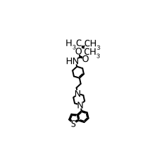 CC(C)(C)OC(=O)NC1CC=C(CCN2CCN(c3cccc4sccc34)CC2)CC1